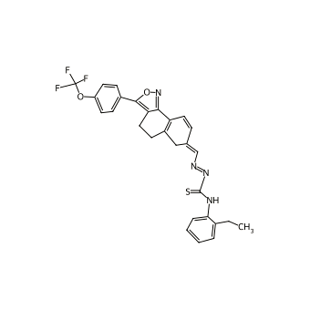 CCc1ccccc1NC(=S)N=NC=C1C=CC2=C(CCc3c2noc3-c2ccc(OC(F)(F)F)cc2)C1